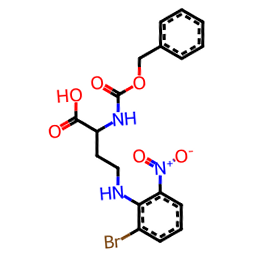 O=C(NC(CCNc1c(Br)cccc1[N+](=O)[O-])C(=O)O)OCc1ccccc1